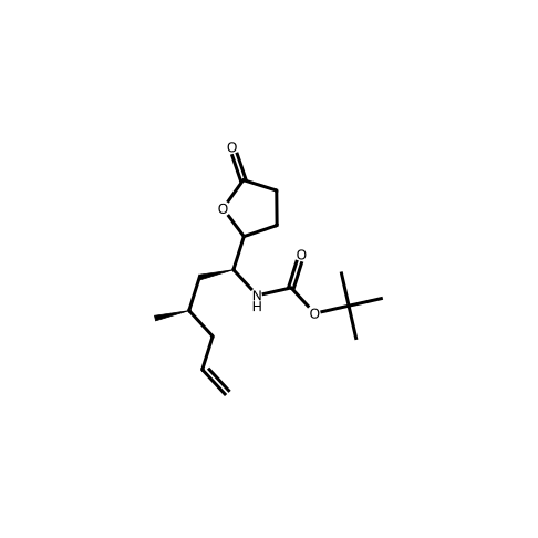 C=CC[C@@H](C)C[C@H](NC(=O)OC(C)(C)C)C1CCC(=O)O1